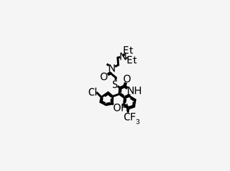 CCN(CC)CCN(C)C(=O)CSc1c(-c2cc(Cl)ccc2O)c2cc(C(F)(F)F)ccc2[nH]c1=O